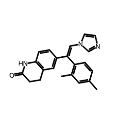 Cc1ccc(C(=Cn2ccnc2)c2ccc3c(c2)CCC(=O)N3)c(C)c1